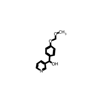 COCOc1ccc(C(O)c2cccnc2)cc1